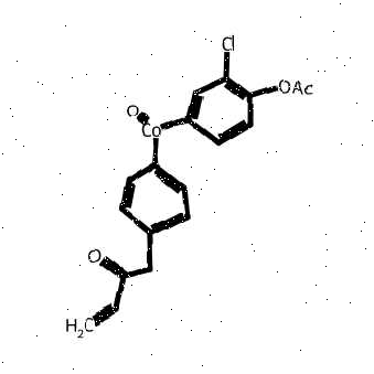 C=CC(=O)Cc1cc[c]([Co](=[O])[c]2ccc(OC(C)=O)c(Cl)c2)cc1